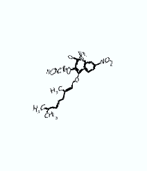 CCCCCCCCOc1c(OC/C=C(\C)CCC=C(C)C)c2ccc([N+](=O)[O-])cc2n(CC)c1=O